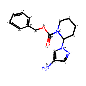 Nc1cnn(C2CCCCN2C(=O)OCc2ccccc2)c1